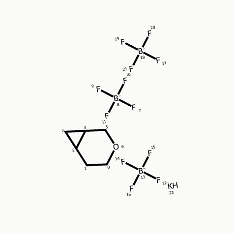 C1CC2CC2CO1.F[B-](F)(F)F.F[B-](F)(F)F.F[B-](F)(F)F.[KH]